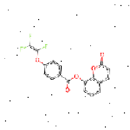 O=C(Oc1cccc2ccc(=O)oc12)c1ccc(OC(F)=C(F)F)cc1